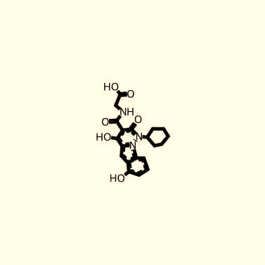 O=C(O)CNC(=O)c1c(O)c2cc3c(O)cccc3n2n(C2CCCCC2)c1=O